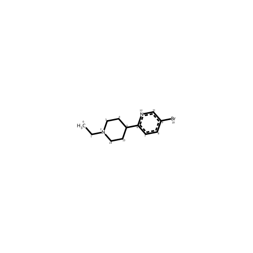 CCN1CCC(c2ccc(Br)cn2)CC1